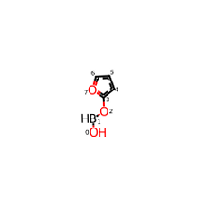 OBOc1ccco1